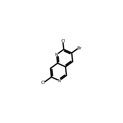 Clc1cc2nc(Cl)c(Br)cc2cn1